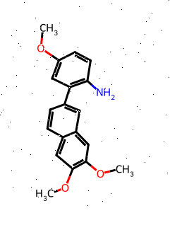 COc1ccc(N)c(-c2ccc3cc(OC)c(OC)cc3c2)c1